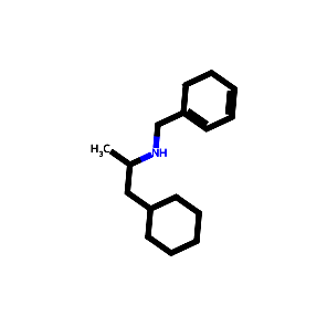 CC(CC1CCCCC1)NCC1=CC=CC[CH]1